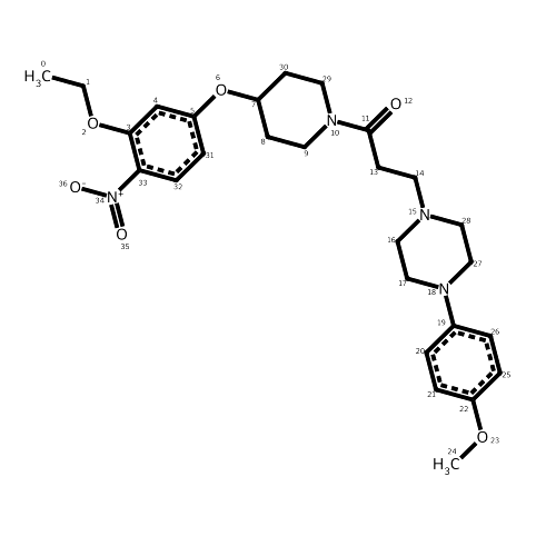 CCOc1cc(OC2CCN(C(=O)CCN3CCN(c4ccc(OC)cc4)CC3)CC2)ccc1[N+](=O)[O-]